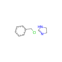 C1=NCCN1.ClCc1ccccc1